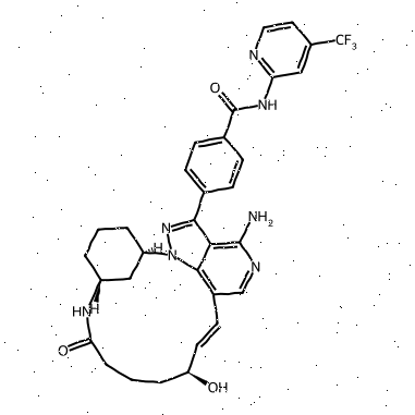 Nc1ncc2c3c1c(-c1ccc(C(=O)Nc4cc(C(F)(F)F)ccn4)cc1)nn3[C@@H]1CCC[C@H](C1)NC(=O)CCC[C@H](O)/C=C/2